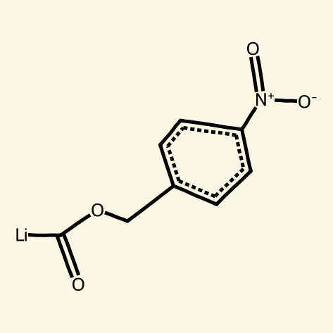 [Li][C](=O)OCc1ccc([N+](=O)[O-])cc1